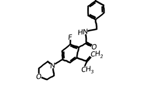 C=C(C)c1cc(N2CCOCC2)cc(F)c1C(=O)NCc1ccc(Cl)cc1